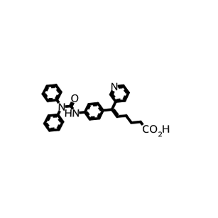 O=C(O)CCCC=C(c1ccc(NC(=O)N(c2ccccc2)c2ccccc2)cc1)c1cccnc1